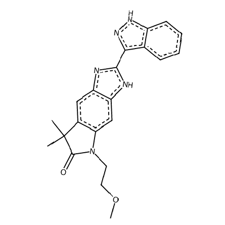 COCCN1C(=O)C(C)(C)c2cc3nc(-c4n[nH]c5ccccc45)[nH]c3cc21